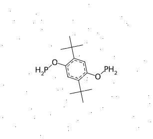 CC(C)(C)c1cc(OP)c(C(C)(C)C)cc1OP